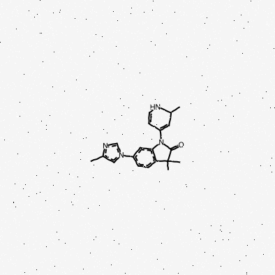 Cc1cn(-c2ccc3c(c2)N(C2=CC(C)NC=C2)C(=O)C3(C)C)cn1